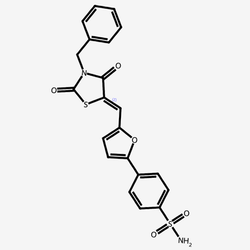 NS(=O)(=O)c1ccc(-c2ccc(/C=C3\SC(=O)N(Cc4ccccc4)C3=O)o2)cc1